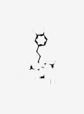 CC(=O)O[Si](CCCc1ccc(F)c(F)c1)(OC(C)=O)OC(C)=O